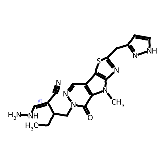 CCC(Cn1ncc2c3sc(Cc4cc[nH]n4)nc3n(C)c2c1=O)/C(C#N)=C\NN